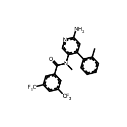 Cc1ccccc1-c1cc(N)ncc1N(C)C(=O)c1cc(C(F)(F)F)cc(C(F)(F)F)c1